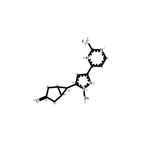 CC(C)n1nc(-c2ccnc(C(F)(F)F)n2)cc1C1C2CC(=O)CC21